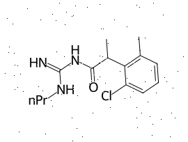 CCCNC(=N)NC(=O)C(C)c1c(C)cccc1Cl